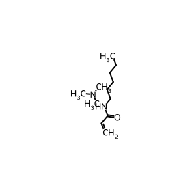 C=CC(=O)NCCCCCC.CN(C)C